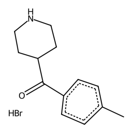 Br.Cc1ccc(C(=O)C2CCNCC2)cc1